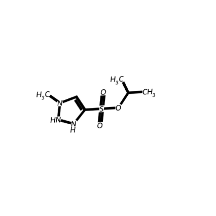 CC(C)OS(=O)(=O)C1=CN(C)NN1